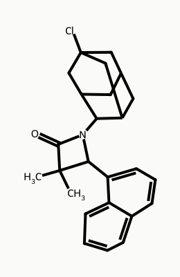 CC1(C)C(=O)N(C2C3CC4CC2CC(Cl)(C4)C3)C1c1cccc2ccccc12